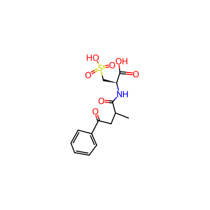 CC(CC(=O)c1ccccc1)C(=O)N[C@@H](CS(=O)(=O)O)C(=O)O